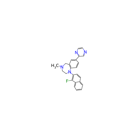 CN1CCN(c2ccc3ccccc3c2F)c2ccc(-c3cnccn3)cc2C1